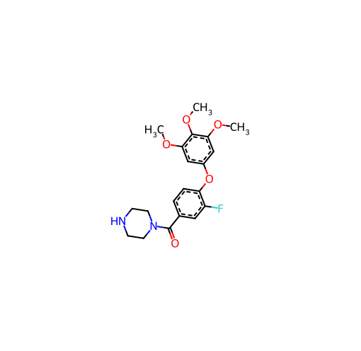 COc1cc(Oc2ccc(C(=O)N3CCNCC3)cc2F)cc(OC)c1OC